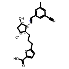 Cc1cc(C#N)cc(/C=C/[C@@H]2[C@@H](CCCc3ccc(C(=O)O)s3)[C@H](Cl)C[C@H]2O)c1